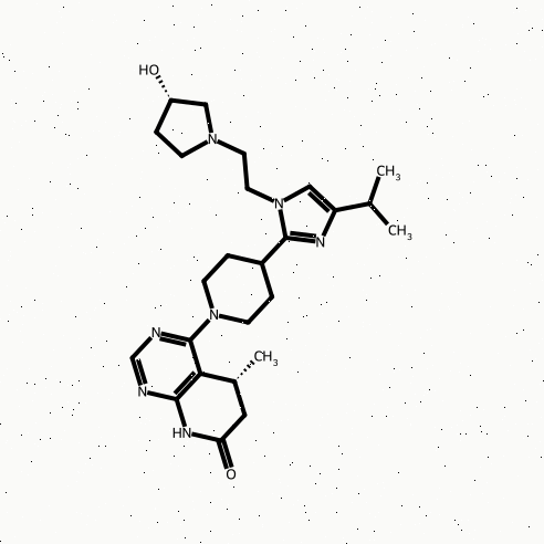 CC(C)c1cn(CCN2CC[C@H](O)C2)c(C2CCN(c3ncnc4c3[C@H](C)CC(=O)N4)CC2)n1